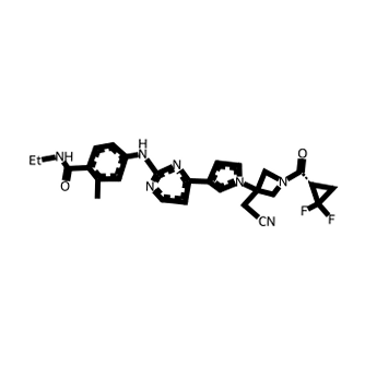 CCNC(=O)c1ccc(Nc2nccc(-c3ccn(C4(CC#N)CN(C(=O)[C@@H]5CC5(F)F)C4)c3)n2)cc1C